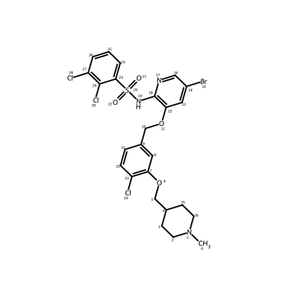 CN1CCC(COc2cc(COc3cc(Br)cnc3NS(=O)(=O)c3cccc(Cl)c3Cl)ccc2Cl)CC1